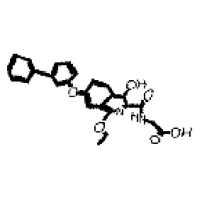 CCOc1nc(C(=O)NCC(=O)O)c(O)c2ccc(Oc3cccc(-c4ccccc4)c3)cc12